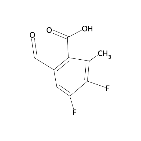 Cc1c(F)c(F)cc(C=O)c1C(=O)O